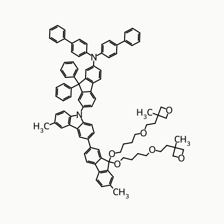 Cc1ccc2c(c1)C(OCCCCOCCC1(C)COC1)(OCCCCOCCC1(C)COC1)c1cc(-c3ccc4c(c3)c3cc(C)ccc3n4-c3ccc4c(c3)C(c3ccccc3)(c3ccccc3)c3cc(N(c5ccc(-c6ccccc6)cc5)c5ccc(-c6ccccc6)cc5)ccc3-4)ccc1-2